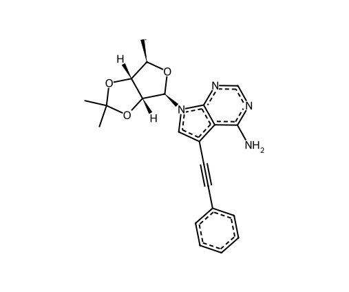 [CH2][C@H]1O[C@@H](n2cc(C#Cc3ccccc3)c3c(N)ncnc32)[C@@H]2OC(C)(C)O[C@@H]21